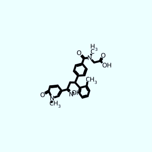 Cc1ccccc1C(C/C(=N\O)c1ccc(=O)n(C)c1)c1ccc(C(=O)N(C)CC(=O)O)cc1